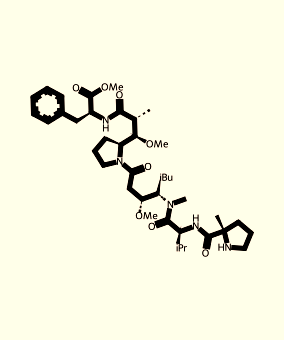 CC[C@H](C)[C@@H]([C@@H](CC(=O)N1CCC[C@H]1[C@H](OC)[C@@H](C)C(=O)N[C@@H](Cc1ccccc1)C(=O)OC)OC)N(C)C(=O)[C@@H](NC(=O)[C@]1(C)CCCN1)C(C)C